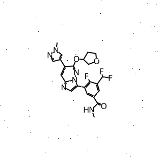 CNC(=O)c1cc(-c2cnc3cc(-c4cnn(C)c4)c(OC4CCOC4)nn23)c(F)c(C(F)F)c1